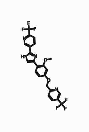 COc1cc(OCc2ccc(C(F)(F)F)cn2)ccc1-c1c[nH]c(-c2ccc(C(F)(F)F)nc2)n1